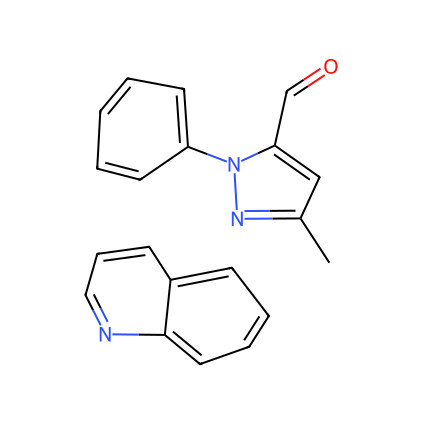 Cc1cc(C=O)n(-c2ccccc2)n1.c1ccc2ncccc2c1